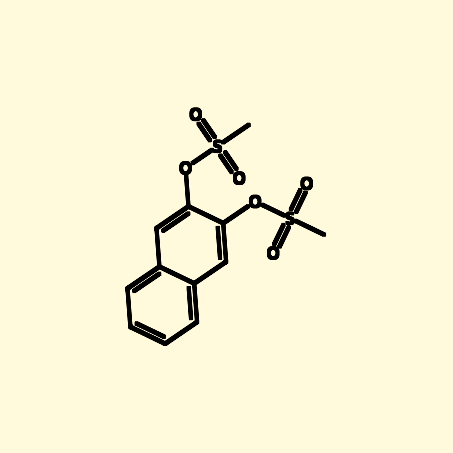 CS(=O)(=O)Oc1cc2ccccc2cc1OS(C)(=O)=O